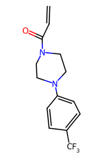 C=CC(=O)N1CCN(c2ccc(C(F)(F)F)cc2)CC1